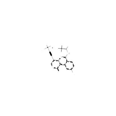 CC(Nc1nc2c(C#CC(C)(C)C)c[nH]c(=O)c2c2cc(Br)ccc12)C(C)(C)C